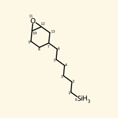 [SiH3]CCCCCCC1CCC2OC2C1